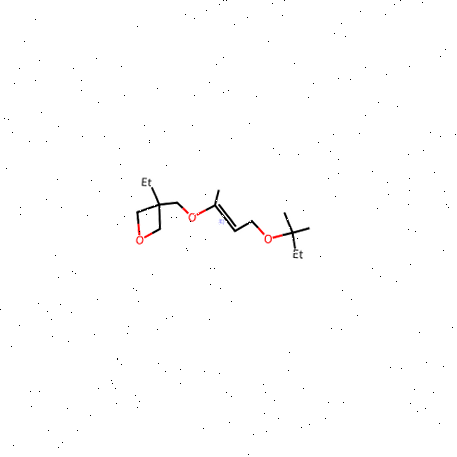 CCC1(CO/C(C)=C/COC(C)(C)CC)COC1